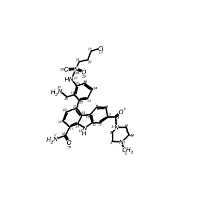 CN1CCN(C(=O)c2ccc3c(c2)[nH]c2c(C(N)=O)ccc(-c4cccc(NS(=O)(=O)CCCCl)c4CN)c23)CC1